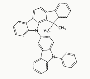 CC1(C)c2ccccc2-c2ccc3c4ccccc4n(-c4ccc5c(c4)c4ccccc4n5-c4ccccc4)c3c21